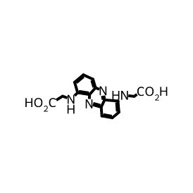 O=C(O)CNc1cccc2nc3c(NCC(=O)O)cccc3nc12